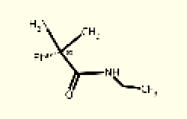 CC[C@@](C)(N)C(=O)NCC(F)(F)F